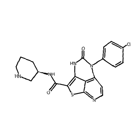 O=C(N[C@@H]1CCCNC1)c1sc2nccc3c2c1NC(=O)N3c1ccc(Cl)cc1